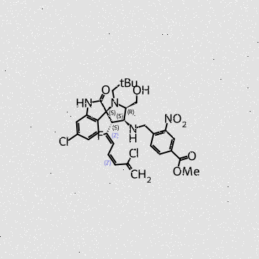 C=C(Cl)/C=C\C=C(/F)[C@H]1[C@H](NCc2ccc(C(=O)OC)cc2[N+](=O)[O-])[C@H](CO)N(CC(C)(C)C)[C@@]12C(=O)Nc1cc(Cl)ccc12